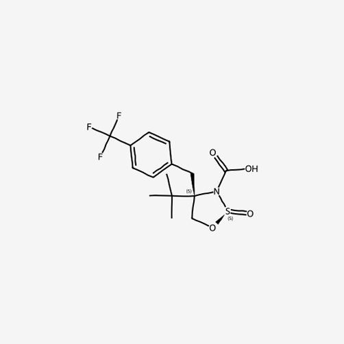 CC(C)(C)[C@@]1(Cc2ccc(C(F)(F)F)cc2)CO[S@](=O)N1C(=O)O